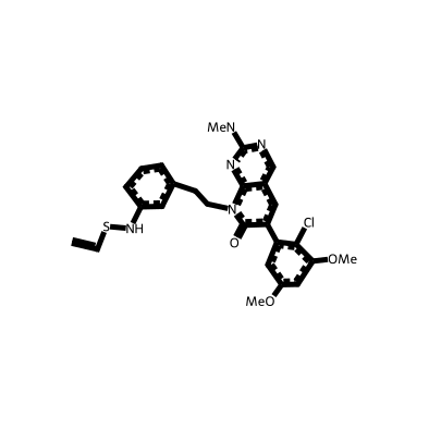 C=CSNc1cccc(CCn2c(=O)c(-c3cc(OC)cc(OC)c3Cl)cc3cnc(NC)nc32)c1